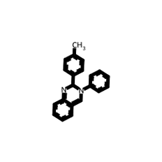 Cc1ccc(C2N=c3ccccc3=CN2c2ccccc2)cc1